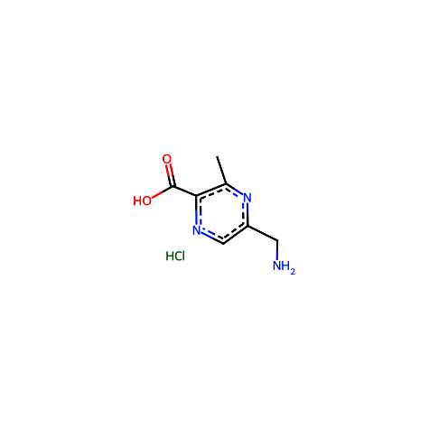 Cc1nc(CN)cnc1C(=O)O.Cl